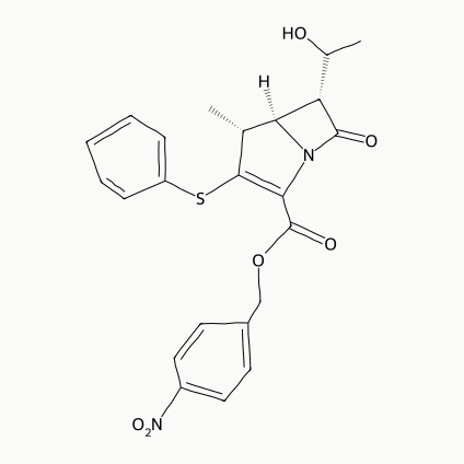 CC(O)[C@@H]1C(=O)N2C(C(=O)OCc3ccc([N+](=O)[O-])cc3)=C(Sc3ccccc3)[C@H](C)[C@@H]12